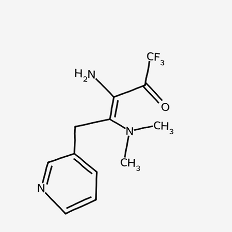 CN(C)C(Cc1cccnc1)=C(N)C(=O)C(F)(F)F